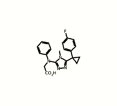 Cn1c(N(CC(=O)O)c2ccccc2)nnc1C1(c2ccc(F)cc2)CC1